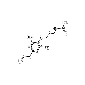 N#CC(=O)NCCCOc1c(Br)cc(CCN)cc1Br